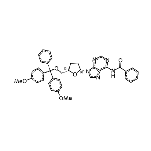 COc1ccc(C(OC[C@@H]2C[CH][C@H](n3cnc4c(NC(=O)c5ccccc5)ncnc43)O2)(c2ccccc2)c2ccc(OC)cc2)cc1